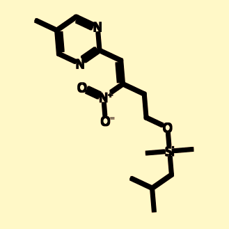 Cc1cnc(C=C(CCO[Si](C)(C)CC(C)C)[N+](=O)[O-])nc1